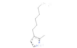 CCCCCCCCCCCCc1cc[nH]c1C